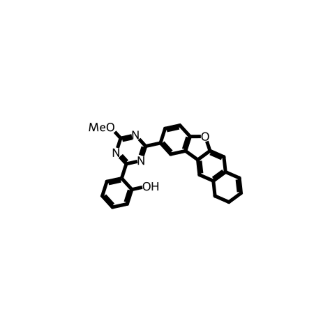 COc1nc(-c2ccc3oc4cc5c(cc4c3c2)CCC=C5)nc(-c2ccccc2O)n1